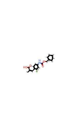 CC(=Cc1ccc(NC(=O)OCc2ccccc2)cc1F)C(=O)O